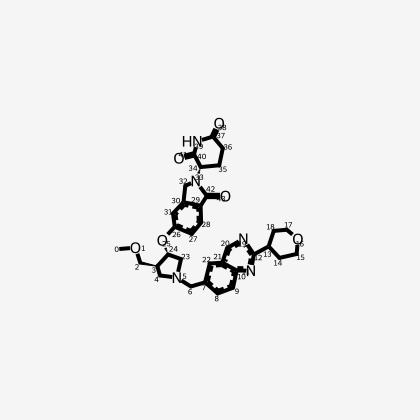 COC[C@@H]1CN(Cc2ccc3nc(C4CCOCC4)ncc3c2)C[C@H]1Oc1ccc2c(c1)CN([C@H]1CCC(=O)NC1=O)C2=O